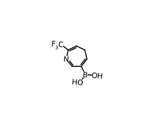 OB(O)C1=CCC=C(C(F)(F)F)N=C1